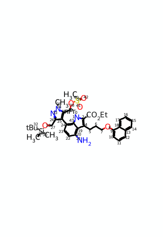 CCCn1c(C(=O)OCC)c(CCCOc2cccc3ccccc23)c2c(N)ccc(-c3c(CO[Si](C)(C)C(C)(C)C)nn(C)c3COS(C)(=O)=O)c21